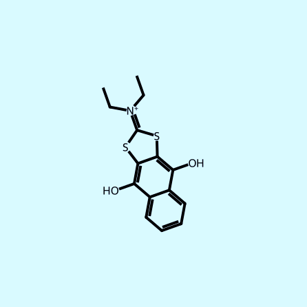 CC[N+](CC)=c1sc2c(O)c3ccccc3c(O)c2s1